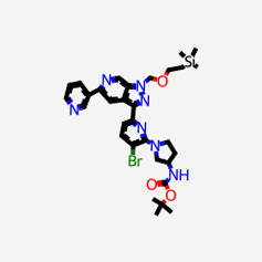 CC(C)(C)OC(=O)NC1CCN(c2nc(-c3nn(COCC[Si](C)(C)C)c4cnc(-c5cccnc5)cc34)ccc2Br)C1